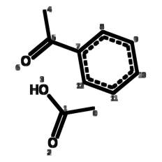 CC(=O)O.CC(=O)c1ccccc1